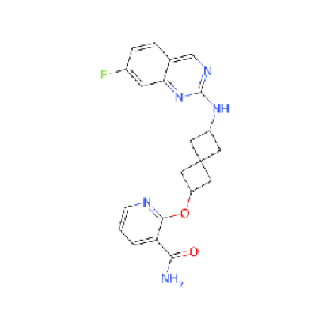 NC(=O)c1cccnc1OC1CC2(CC(Nc3ncc4ccc(F)cc4n3)C2)C1